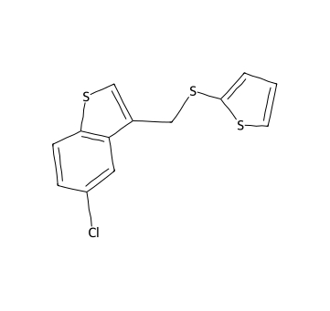 Clc1ccc2scc(CSc3cccs3)c2c1